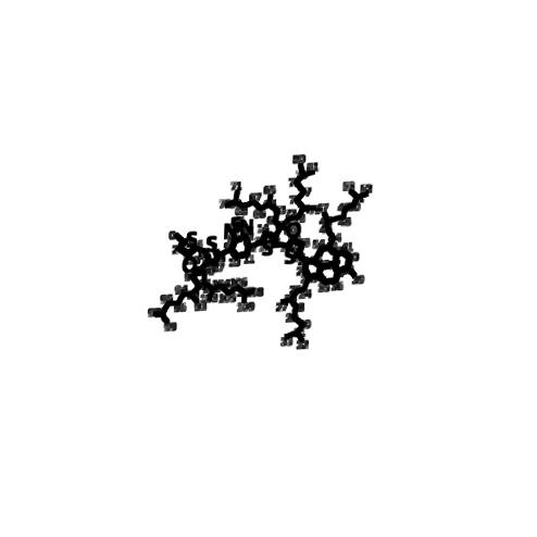 Cc1cc2c(s1)-c1sc(-c3ccc(-c4cc5c(s4)-c4sc(-c6cc(CCC(C)CCCC(C)C)c7ccc8c(C)ccc9c(CCC(C)CCCC(C)C)cc6c7c89)cc4OC5(CCC(C)CCCC(C)C)CCC(C)CCCC(C)C)c4nsnc34)cc1C(CCC(C)CCCC(C)C)(CCC(C)CCCC(C)C)O2